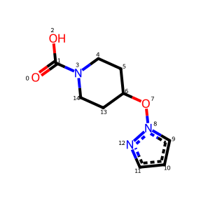 O=C(O)N1CCC(On2cccn2)CC1